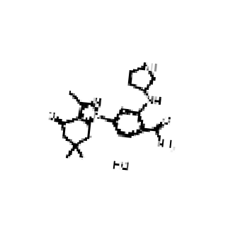 Cc1nn(-c2ccc(C(N)=O)c(NC3CCNC3)c2)c2c1C(=O)CC(C)(C)C2.Cl